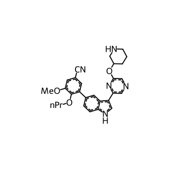 CCCOc1c(OC)cc(C#N)cc1-c1ccc2[nH]cc(-c3cncc(OC4CCCNC4)n3)c2c1